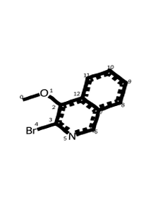 COc1c(Br)n[c]c2ccccc12